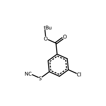 CC(C)(C)OC(=O)c1cc(Cl)cc(SC#N)c1